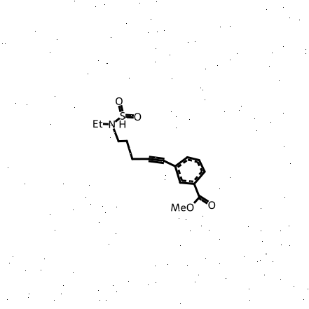 CCN(CCCC#Cc1cccc(C(=O)OC)c1)[SH](=O)=O